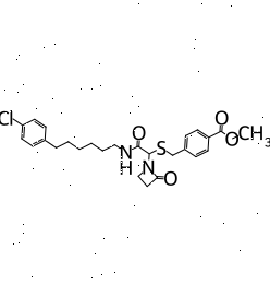 COC(=O)c1ccc(CSC(C(=O)NCCCCCCc2ccc(Cl)cc2)N2CCC2=O)cc1